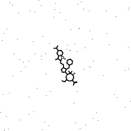 C=C(C)C1CC(CC)CC(C2CCC(CCC3C(C)C4CC(C(C)C)CCC4P3C)C2CC2CCCCC2)C(C)(C)C(C)C1